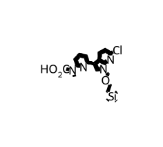 CN(C(=O)O)c1cccc(-c2cn(COCC[Si](C)(C)C)c3nc(Cl)ccc23)n1